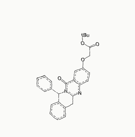 CC(C)(C)OC(=O)COc1ccc2nc3n(c(=O)c2c1)C(c1ccccc1)c1ccccc1C3